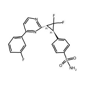 NS(=O)(=O)c1ccc([C@H]2[C@H](c3nccc(-c4cccc(F)c4)n3)C2(F)F)cc1